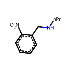 [CH2]CCNCc1ccccc1[N+](=O)[O-]